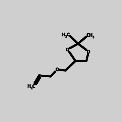 C=CCOCC1COC(C)(C)O1